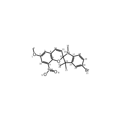 COc1cc2c(c([N+](=O)[O-])c1)OC1(C=C2)N(C)c2ccc(Br)cc2C1(C)C